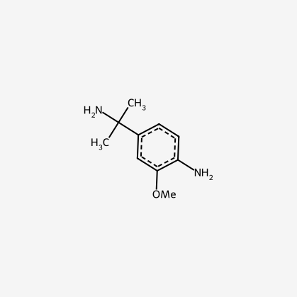 COc1cc(C(C)(C)N)ccc1N